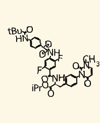 CC(C)OC(=O)[C@H](Cc1ccc(-n2c(=O)ccn(C)c2=O)cc1)NC(=O)c1cc(F)c(NS(=O)(=O)c2ccc(NC(=O)C(C)(C)C)cc2)cc1F